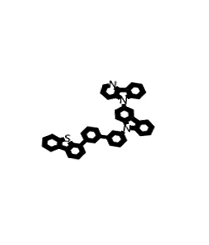 c1cc(-c2cccc(-n3c4ccccc4c4cc(-n5c6ccccc6c6ncccc65)ccc43)c2)cc(-c2cccc3c2sc2ccccc23)c1